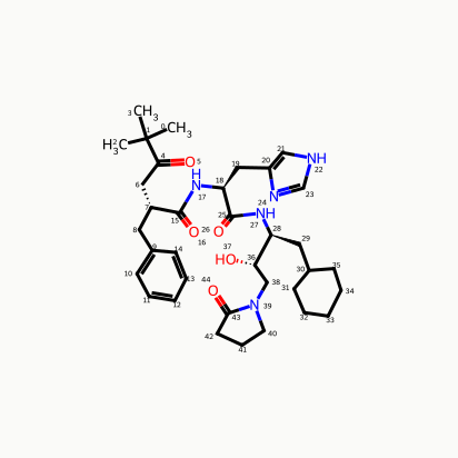 CC(C)(C)C(=O)C[C@@H](Cc1ccccc1)C(=O)N[C@@H](Cc1c[nH]cn1)C(=O)N[C@@H](CC1CCCCC1)[C@@H](O)CN1CCCC1=O